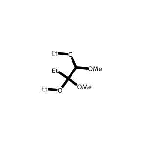 CCOC(OC)C(CC)(OC)OCC